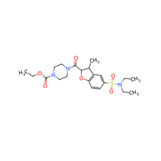 CCOC(=O)N1CCN(C(=O)C2Oc3ccc(S(=O)(=O)N(CC)CC)cc3C2C)CC1